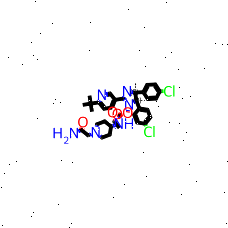 CCOc1cc(C(C)(C)C)ncc1C1=N[C@@](C)(c2ccc(Cl)cc2)[C@@](C)(c2ccc(Cl)cc2)N1OC(=O)NC1CCN(CC(N)=O)CC1